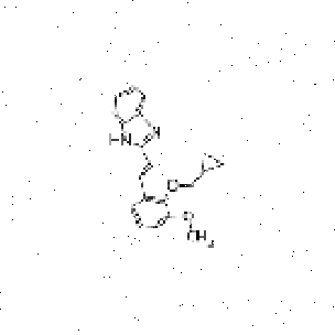 COc1cccc(/C=C/c2nc3ccccc3[nH]2)c1OCC1CC1